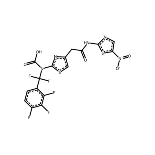 O=C(Cc1csc(N(C(=O)O)C(F)(F)c2ccc(F)c(F)c2F)n1)Nc1ncc([N+](=O)[O-])s1